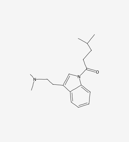 CC(C)CCC(=O)n1cc(CCN(C)C)c2ccccc21